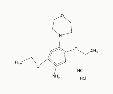 CCOc1cc(N2CCOCC2)c(OCC)cc1N.Cl.Cl